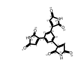 O=C1C=C(c2cc(C3=CC(=O)NC3=O)cc(C3=CC(=O)NC3=O)c2)C(=O)N1